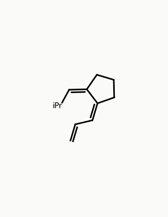 C=C/C=C1/CCC/C1=C/C(C)C